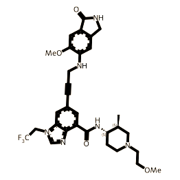 COCCN1CC[C@H](NC(=O)c2cc(C#CCNc3cc4c(cc3OC)C(=O)NC4)cc3c2ncn3CC(F)(F)F)[C@@H](C)C1